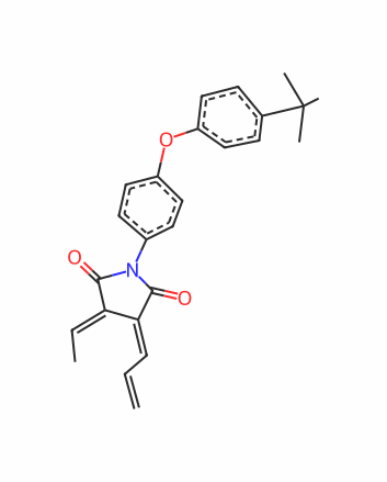 C=C/C=C1/C(=O)N(c2ccc(Oc3ccc(C(C)(C)C)cc3)cc2)C(=O)/C1=C/C